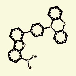 OB(O)c1cccc2c1oc1c(-c3ccc(N4c5ccccc5Sc5ccccc54)cc3)cccc12